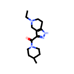 CCN1CCc2[nH]nc(C(=O)N3CCC(C)CC3)c2C1